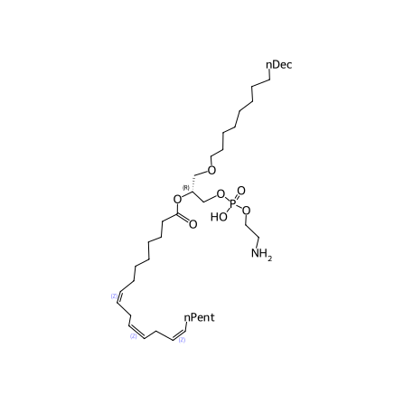 CCCCC/C=C\C/C=C\C/C=C\CCCCCCC(=O)O[C@H](COCCCCCCCCCCCCCCCCCC)COP(=O)(O)OCCN